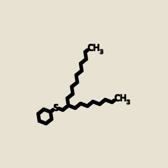 CCCCCCCCCCC(CCCCCCCC)CSC1CCCCC1